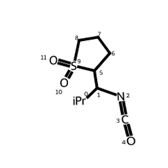 CC(C)C(N=C=O)C1CCCS1(=O)=O